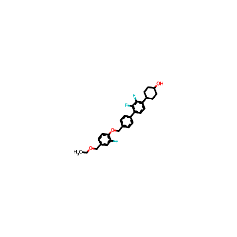 CCOCc1ccc(OCc2ccc(-c3ccc(C4CCC(O)CC4)c(F)c3F)cc2)c(F)c1